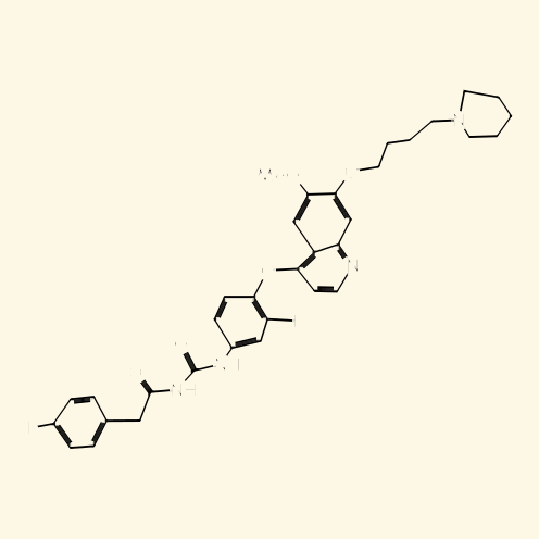 COc1cc2c(Oc3ccc(NC(=O)NC(=O)Cc4ccc(F)cc4)cc3F)ccnc2cc1OCCCCN1CCCCC1